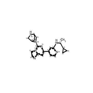 C[C@@H](Nc1cc(-c2cc3nccn3c(N3CC4CC3CN4)n2)ccn1)C1CC1